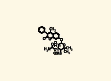 COC1[C@H](OC(N)=O)[C@H](O)C(Oc2ccc3c(C)c(-c4ccccc4)c(=O)oc3c2)OC1(C)C